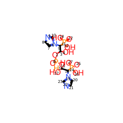 O=[PH](OC(O)C(n1ccnc1)P(=O)(O)O)OC(O)C(n1ccnc1)P(=O)(O)O